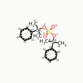 C[Si](C)(OS(=O)(=O)O[Si](C)(C)c1ccccc1)c1ccccc1